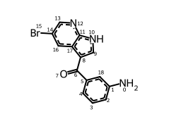 Nc1cccc(C(=O)c2c[nH]c3ncc(Br)cc23)c1